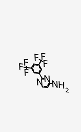 Nc1ccnc(-c2cc(C(F)(F)F)cc(C(F)(F)F)c2)n1